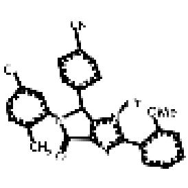 COc1ccccc1-c1nc2c(n1C(C)C)C(c1ccc(C#N)cc1)N(c1cc(Cl)ccc1C)C2=O